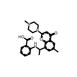 Cc1cc(C(C)Nc2ccccc2C(=O)O)c2oc(N3CCN(C)CC3)cc(=O)c2c1